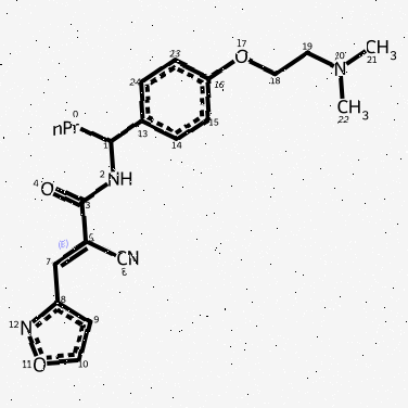 CCCC(NC(=O)/C(C#N)=C/c1ccon1)c1ccc(OCCN(C)C)cc1